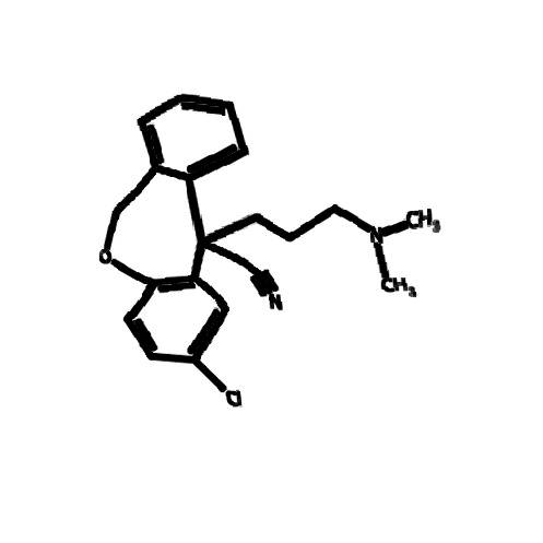 CN(C)CCCC1(C#N)c2ccccc2COc2ccc(Cl)cc21